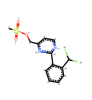 CS(=O)(=O)OCc1ccnc(-c2ccccc2C(F)F)n1